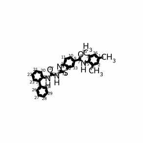 Cc1cc(C)c(NC(=O)c2ccc3nc(NC(=O)Nc4ccccc4-c4ccccc4)sc3c2)c(C)c1